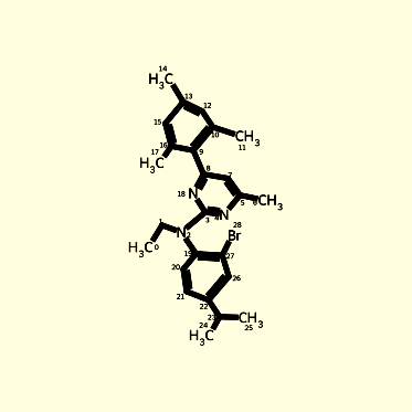 CCN(c1nc(C)cc(-c2c(C)cc(C)cc2C)n1)c1ccc(C(C)C)cc1Br